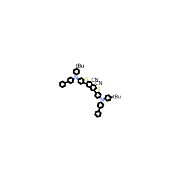 CC(C)(C)c1ccc(N(c2ccc(-c3ccccc3)cc2)c2ccc3c(c2)sc2c(C#N)c4c(C#N)c5sc6cc(N(c7ccc(-c8ccccc8)cc7)c7ccc(C(C)(C)C)cc7)ccc6c5cc4cc23)cc1